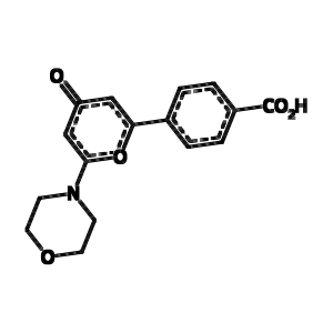 O=C(O)c1ccc(-c2cc(=O)cc(N3CCOCC3)o2)cc1